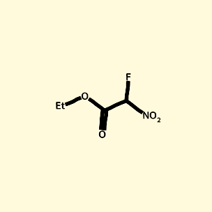 CCOC(=O)C(F)[N+](=O)[O-]